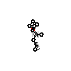 c1ccc(-c2nc(-c3ccc(-c4cccc5c4C4(c6ccccc6-c6ccccc64)c4ccccc4-5)cc3)nc(-c3cccc(-c4ccc5sc6ccccc6c5c4)c3)n2)cc1